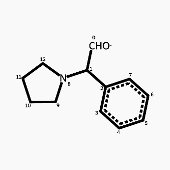 O=[C]C(c1ccccc1)N1CCCC1